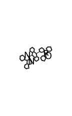 O=P(c1ccccc1)(c1ccccc1)c1cccc(-c2c3ccccc3c(-c3nc4ccccc4c4c3ncc3ccccc34)c3ccccc23)c1